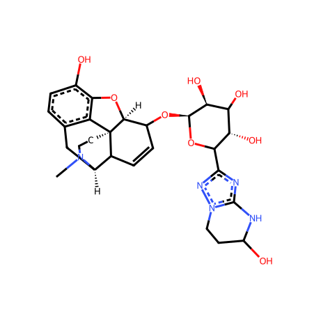 CN1CC[C@]23c4c5ccc(O)c4O[C@H]2C(O[C@@H]2OC(c4nc6n(n4)CCC(O)N6)[C@@H](O)C(O)[C@@H]2O)C=CC3[C@H]1C5